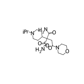 CC(C)N1CCC(C(CC(=O)N2CCOCC2)(C(N)=O)S(N)(=O)=O)CC1